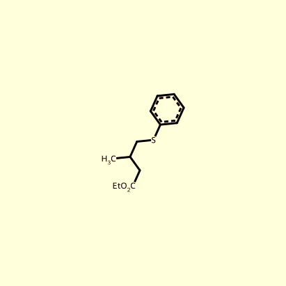 CCOC(=O)CC(C)CSc1ccccc1